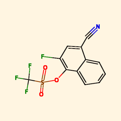 N#Cc1cc(F)c(OS(=O)(=O)C(F)(F)F)c2ccccc12